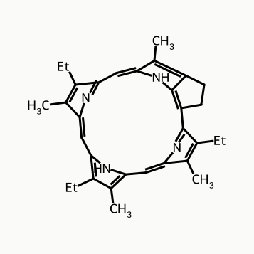 CCC1=C(C)c2cc3[nH]c(cc4nc(c5c6[nH]c(cc1n2)c(C)c6CC5)C(CC)=C4C)c(C)c3CC